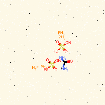 NC(N)=O.O=S(=O)(O)O.O=S(=O)(O)O.P.P.P.P